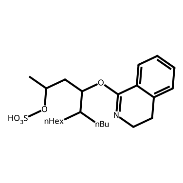 CCCCCCC(CCCC)C(CC(C)OS(=O)(=O)O)OC1=NCCc2ccccc21